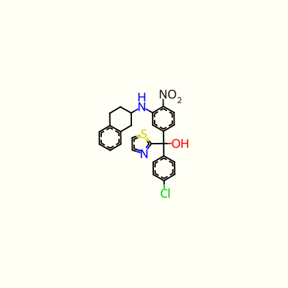 O=[N+]([O-])c1ccc(C(O)(c2ccc(Cl)cc2)c2nccs2)cc1NC1CCc2ccccc2C1